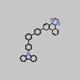 C1=CC2C3=C(C=CC(c4ccc(-c5cccc(-c6ccc(-n7c8ccccc8c8ccccc87)cc6)c5)cc4)C3)C3N=CC=NC3C2C=C1